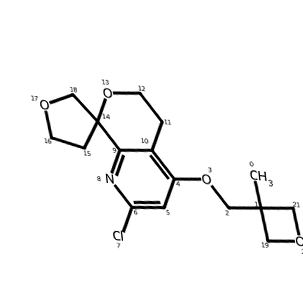 CC1(COc2cc(Cl)nc3c2CCOC32CCOC2)COC1